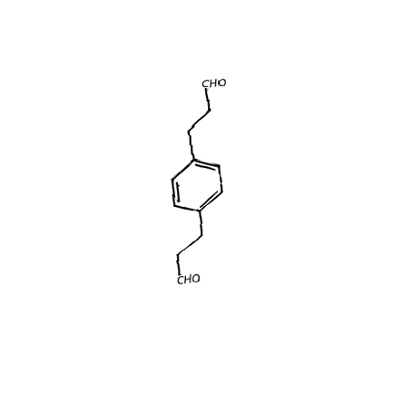 O=CCCc1ccc(CCC=O)cc1